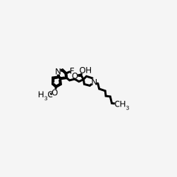 CCCCCCCN1CCC(CCCc2c(F)cnc3ccc(OC)cc23)(C(=O)O)CC1